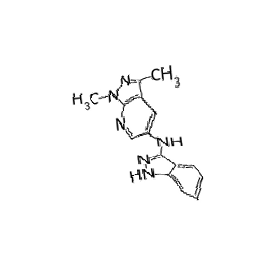 Cc1nn(C)c2ncc(Nc3n[nH]c4ccccc34)cc12